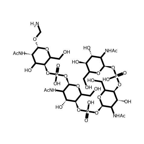 CC(=O)NC1[C@@H](OP(=O)(O)O[C@@H]2C(CO)O[C@H](OP(=O)(O)O[C@@H]3C(CO)O[C@H](OP(=O)(O)O[C@@H]4C(CO)O[C@@H](OCN)[C@@H](NC(C)=O)C4O)C(NC(C)=O)[C@H]3O)C(NC(C)=O)[C@H]2O)OC(CO)[C@@H](O)[C@@H]1O